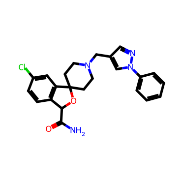 NC(=O)C1OC2(CCN(Cc3cnn(-c4ccccc4)c3)CC2)c2cc(Cl)ccc21